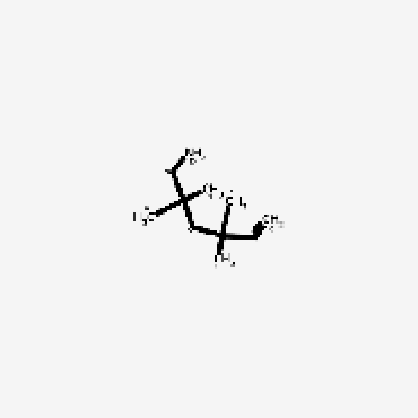 C=CC(C)(C)CC(C)(C)CN